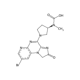 CN(C(=O)O)[C@@H]1CCN(C2=Nc3ncc(Br)cc3N3CC(=O)N=C23)C1